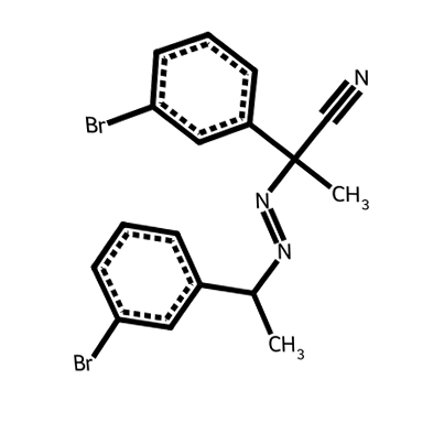 CC(N=NC(C)(C#N)c1cccc(Br)c1)c1cccc(Br)c1